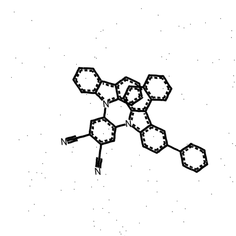 N#Cc1cc(-n2c3ccccc3c3ccccc32)c(-n2c3ccc(-c4ccccc4)cc3c3c4ccccc4ccc32)cc1C#N